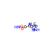 Cc1cccc(-c2[nH]cnc2-c2ccc3ncc(-c4ccc(C(=O)OC5CNC5)cc4)cc3c2)n1